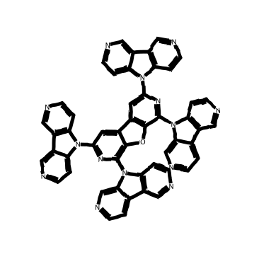 c1cc2c(cn1)c1cnccc1n2-c1cc2c(oc3c(-n4c5ccncc5c5ccncc54)nc(-n4c5ccncc5c5cnccc54)cc32)c(-n2c3ccncc3c3ccncc32)n1